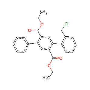 CCOC(=O)c1cc(-c2ccccc2CCl)c(C(=O)OCC)cc1-c1ccccc1